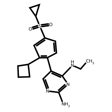 CCNc1nc(N)ncc1-c1ccc(S(=O)(=O)C2CC2)cc1C1CCC1